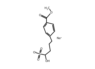 COC(=O)c1ccc(CCCC(O)S(=O)(=O)[O-])cc1.[Na+]